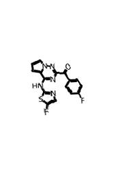 O=C(c1ccc(F)cc1)c1nc(Nc2ncc(F)s2)c2cccn2n1